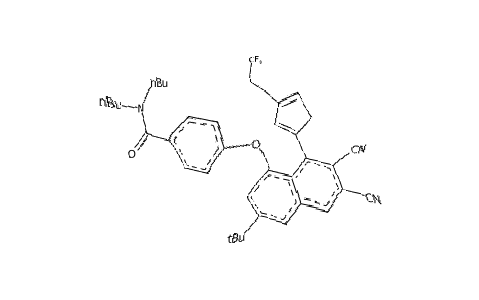 CCCCN(CCCC)C(=O)c1ccc(Oc2cc(C(C)(C)C)cc3cc(C#N)c(C#N)c(C4=CC(CC(F)(F)F)=CC4)c23)cc1